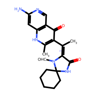 C/C(=C1\C(=O)NC2(CCCCC2)N1C=O)c1c(C)[nH]c2cc(N)ncc2c1=O